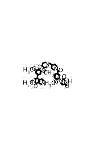 COc1ccc(C(=O)N2CCC(CN3CCC(Oc4c(OC)cc(-c5cn(C)c(=O)c6cnccc56)cc4OC)CC3)CC2)cc1-n1ccc(=O)[nH]c1=O